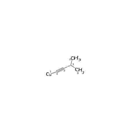 CC(C)C#[C][Cu]